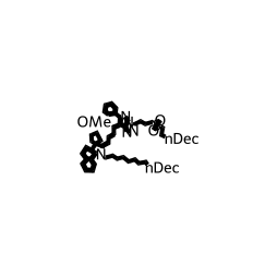 CCCCCCCCCCCCCCCCCCN1/C(=C/C=C/C=c2/c(-c3ccccc3OC)nn3c(CCCS(=O)(=O)CCCCCCCCCCCC)nnc23)C2(CCCC2)c2ccc3ccccc3c21